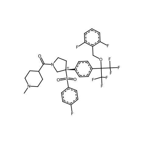 CN1CCC(C(=O)N2CC[C@](c3ccc(C(OCc4c(F)cccc4F)(C(F)(F)F)C(F)(F)F)cc3)(S(=O)(=O)c3ccc(F)cc3)C2)CC1